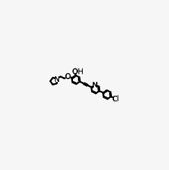 Oc1cc(C#Cc2ccc(-c3ccc(Cl)cc3)cn2)ccc1OCCN1CCCC1